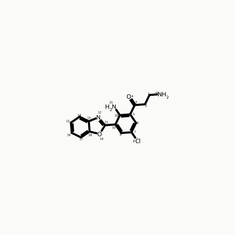 NCCC(=O)c1cc(Cl)cc(-c2nc3ccccc3o2)c1N